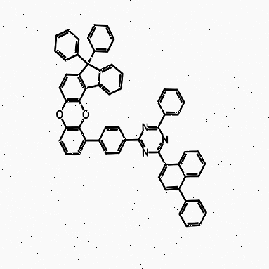 c1ccc(-c2nc(-c3ccc(-c4cccc5c4Oc4c(ccc6c4-c4ccccc4C6(c4ccccc4)c4ccccc4)O5)cc3)nc(-c3ccc(-c4ccccc4)c4ccccc34)n2)cc1